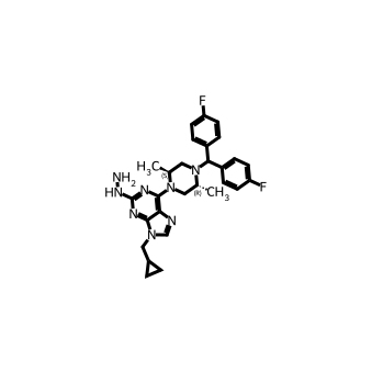 C[C@@H]1CN(c2nc(NN)nc3c2ncn3CC2CC2)[C@@H](C)CN1C(c1ccc(F)cc1)c1ccc(F)cc1